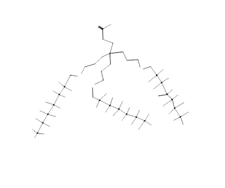 O=C(Cl)CCC(CCCOCC(F)(F)C(F)(F)C(F)(F)C(F)(F)C(F)(F)C(F)(F)F)(CCCOCC(F)(F)C(F)(F)C(F)(F)C(F)(F)C(F)(F)C(F)(F)F)CCCOCC(F)(F)C(F)(F)C(F)(F)C(F)(F)C(F)(F)C(F)(F)F